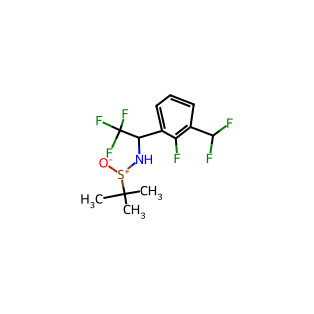 CC(C)(C)[S+]([O-])NC(c1cccc(C(F)F)c1F)C(F)(F)F